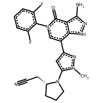 Cn1nc(-c2cn(-c3c(F)cccc3F)c(=O)c3c(N)n[nH]c23)cc1N1CCC[C@@H]1CC#N